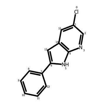 Clc1cnc2[nH]c(-c3ccccc3)cc2c1